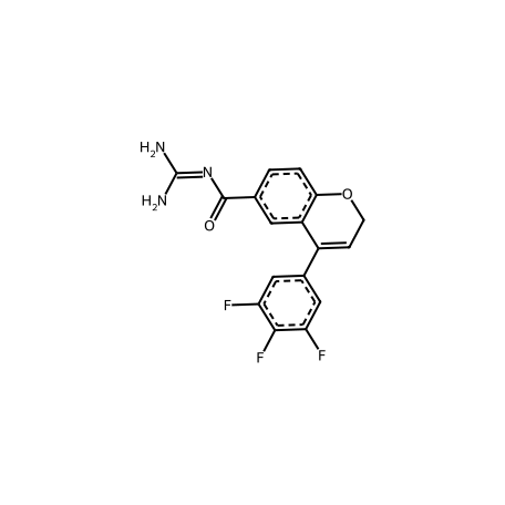 NC(N)=NC(=O)c1ccc2c(c1)C(c1cc(F)c(F)c(F)c1)=CCO2